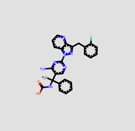 CC(NC(=O)O)(c1ccccc1)c1cnc(-n2nc(Cc3ccccc3F)c3ncccc32)nc1N